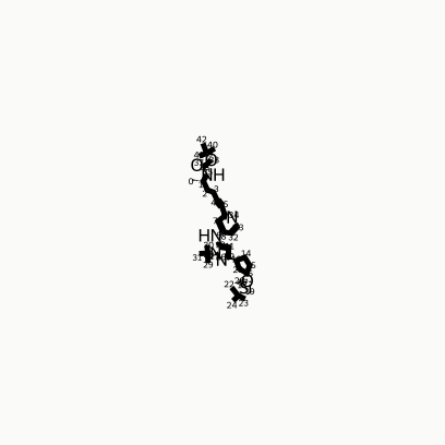 C[C@@H](CCC#Cc1cc(Nc2cc([C@H]3CC[C@@H](O[Si](C)(C)C(C)(C)C)C3)nn2C(C)(C)C)ccn1)NC(=O)OC(C)(C)C